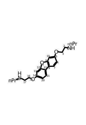 CCCNCCOc1ccc2c(c1)oc1cc(OCCNCCC)ccc12